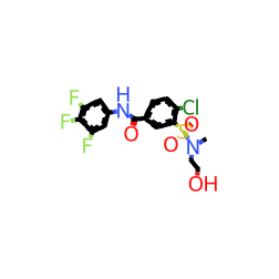 CN(CCO)S(=O)(=O)c1cc(C(=O)Nc2cc(F)c(F)c(F)c2)ccc1Cl